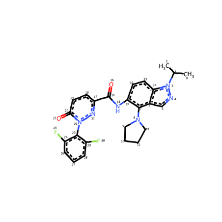 CC(C)n1ncc2c(N3CCCC3)c(NC(=O)c3ccc(=O)n(-c4c(F)cccc4F)n3)ccc21